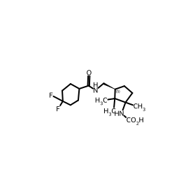 CC1(NC(=O)O)CC[C@H](CNC(=O)C2CCC(F)(F)CC2)C1(C)C